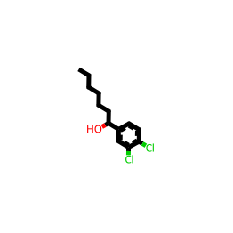 CCCCCCC(O)c1ccc(Cl)c(Cl)c1